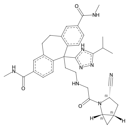 CNC(=O)c1ccc2c(c1)CCc1cc(C(=O)NC)ccc1C2(CCNCC(=O)N1[C@H](C#N)C[C@@H]2C[C@@H]21)c1nnc(C(C)C)[nH]1